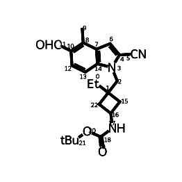 CCC1(Cn2c(C#N)cc3c(C)c(C=O)ccc32)CC(NC(=O)OC(C)(C)C)C1